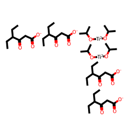 CC(C)[O][Ti+2][O]C(C)C.CC(C)[O][Ti+2][O]C(C)C.CCC(CC)C(=O)CC(=O)[O-].CCC(CC)C(=O)CC(=O)[O-].CCC(CC)C(=O)CC(=O)[O-].CCC(CC)C(=O)CC(=O)[O-]